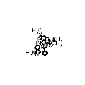 CCOc1cc(CC)cc(C(Nc2ccc3c(N)nccc3c2)c2nc(-c3ccccc3)cn2CC(=O)NC(C)C)c1F